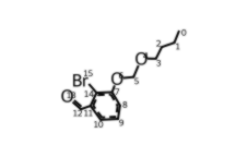 CCCCOCOc1cccc(C=O)c1Br